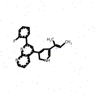 C/C=C(\C)C1=CNCC(c2cc(-c3ccccc3F)nc3ncccc23)=C1